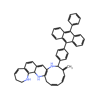 C=C1/C=C\C=C/CC2=C(C=C3C=CC4=C(NCCC=C4)C3N2)NC1c1ccc(-c2c3ccccc3c(-c3ccccc3)c3ccccc23)cc1